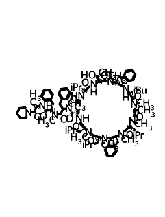 CC[C@H](C)[C@@H]1NC(=O)[C@H](Cc2ccccc2)N(C)C(=O)[C@H]([C@@H](C)O)NC(=O)[C@@H](C(C)C)NC(=O)C[C@@H](C(=O)N(C)C(Cc2ccccc2)C(=O)N(C)[C@@H](Cc2ccccc2)C(=O)N[C@@H](C)C(=O)N2CCCCC2)NC(=O)[C@H](CC(C)C)N(C)C(=O)[C@H](CC(C)C)N(C)C(=O)[C@H](Cc2ccccc2)N(C)C(=O)[C@H](CC(C)C)N(C)C(=O)[C@H](C)N(C)C1=O